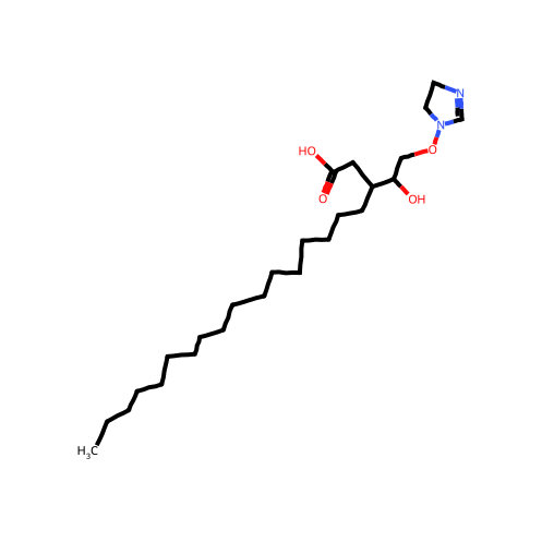 CCCCCCCCCCCCCCCCCC(CC(=O)O)C(O)CON1C=NCC1